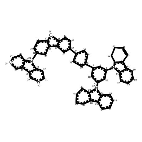 C1=Cc2c(n(-c3cc(-c4ccc(-c5ccc6oc7ccc(-n8c9ccncc9c9cnccc98)cc7c6c5)cc4)cc(-n4c5ccccc5c5ccccc54)c3)c3ccccc23)CC1